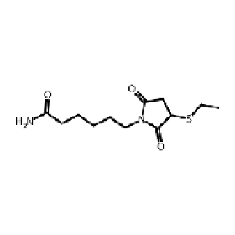 CCSC1CC(=O)N(CCCCCC(N)=O)C1=O